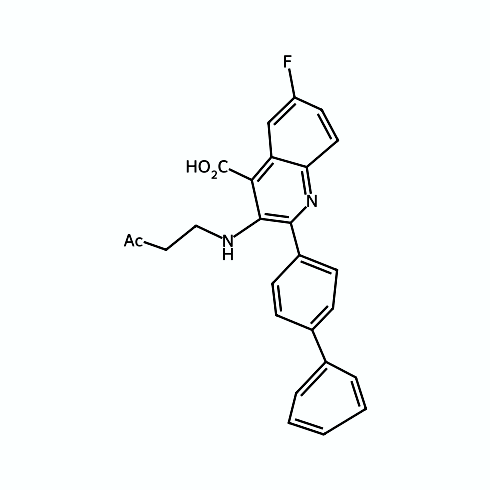 CC(=O)CCNc1c(-c2ccc(-c3ccccc3)cc2)nc2ccc(F)cc2c1C(=O)O